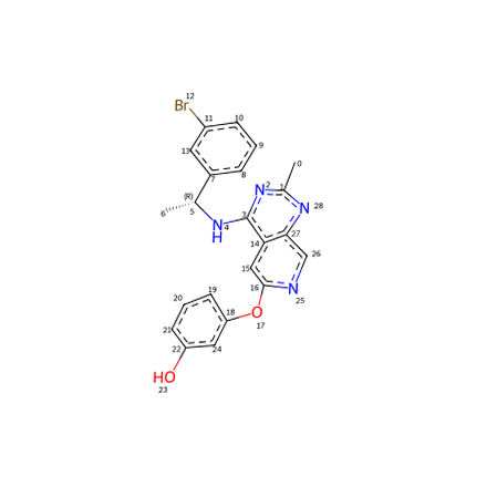 Cc1nc(N[C@H](C)c2cccc(Br)c2)c2cc(Oc3cccc(O)c3)ncc2n1